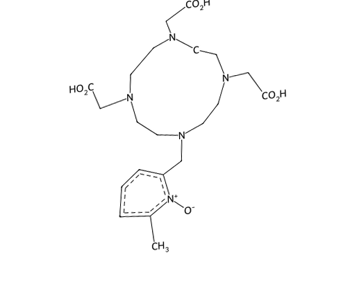 Cc1cccc(CN2CCN(CC(=O)O)CCN(CC(=O)O)CCN(CC(=O)O)CC2)[n+]1[O-]